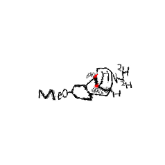 [2H]C([2H])N1CC[C@]23CCCC[C@H]2[C@H]1Cc1ccc(OC)cc13